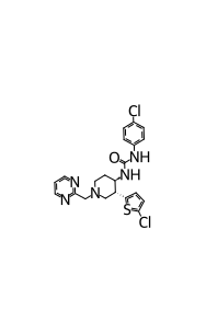 O=C(Nc1ccc(Cl)cc1)N[C@@H]1CCN(Cc2ncccn2)C[C@H]1c1ccc(Cl)s1